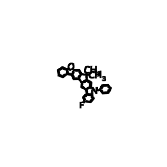 CC1(C)c2cc3oc4ccccc4c3cc2-c2cc3c4cc(F)ccc4n(-c4ccccc4)c3cc21